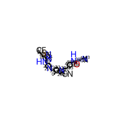 Cc1c(CN2CCC(Nc3ncnc4sc(CC(F)(F)F)cc34)CC2)ccc2c1cc(C#N)n2CCC1CCC(NC(=O)/C=C/CN(C)C)CC1